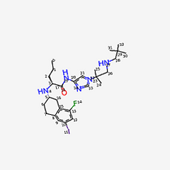 CCC[C@H](N[C@H]1CCc2cc(I)cc(F)c2C1)C(=O)Nc1cn(C(C)(C)CNCC(C)(C)C)cn1